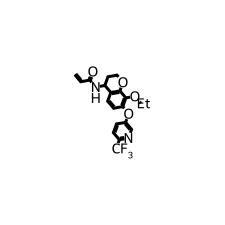 C=CC(=O)NC1CCOc2c1ccc(Oc1ccc(C(F)(F)F)nc1)c2OCC